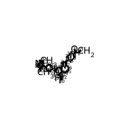 C=CC(=O)N1CCN(C2CN3c4cc(N5CCC(c6c(C)cnn6C)CC5)nc(C(F)(F)F)c4C=CCC23)CC1